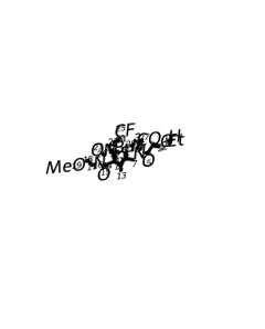 CCOC=CC(=O)N(Cc1sc2c(c1C)c(=O)n(CCOC)c(=O)n2CCC(F)(F)F)N(C(=O)O)C(C)(C)C